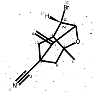 C=C1C2OC3(C)CC1(C#N)CC3[C@@H]2Br